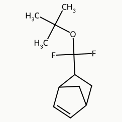 CC(C)(C)OC(F)(F)C1CC2C=CC1C2